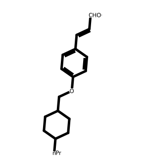 CCCC1CCC(COc2ccc(/C=C/[C]=O)cc2)CC1